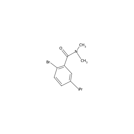 CC(C)c1ccc(Br)c(C(=O)N(C)C)c1